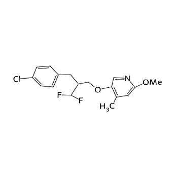 COc1cc(C)c(OCC(Cc2ccc(Cl)cc2)C(F)F)cn1